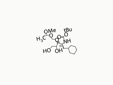 COC(C)OCO[C@@H](C(O)CO)[C@H](CC1CCCCC1)NC(=O)OC(C)(C)C